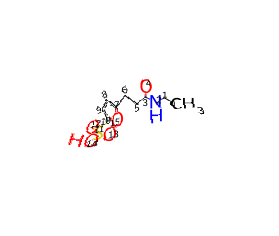 CCNC(=O)CCc1ccc(S(=O)(=O)O)o1